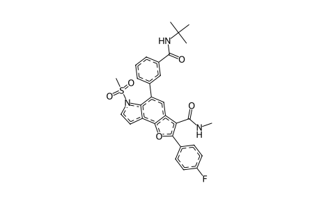 CNC(=O)c1c(-c2ccc(F)cc2)oc2c1cc(-c1cccc(C(=O)NC(C)(C)C)c1)c1c2ccn1S(C)(=O)=O